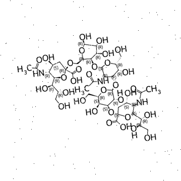 CC(=O)N[C@H]1[C@H](O[C@@H]2[C@H](O)[C@@H](O)[C@H](O)O[C@@H]2CO[C@]2(C(=O)O)C[C@H](O)[C@@H](NC(C)=O)[C@H]([C@H](O)[C@H](O)CO)O2)O[C@H](CO)[C@H](O)[C@@H]1O[C@@H]1O[C@H](CO)[C@H](O)[C@H](O[C@]2(C(=O)O)C[C@H](O)[C@@H](NC(C)=O)[C@H]([C@H](O)[C@H](O)CO)O2)[C@H]1O